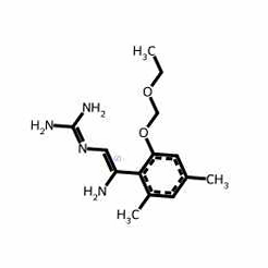 CCOCOc1cc(C)cc(C)c1/C(N)=C/N=C(N)N